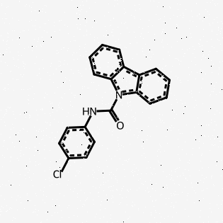 O=C(Nc1ccc(Cl)cc1)n1c2ccccc2c2ccccc21